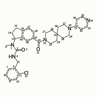 CN(C(=O)NCc1ccccc1Cl)C1CCc2ccc(C(=O)N3CCC4(CC3)CCN(c3ccncc3)CC4)cc21